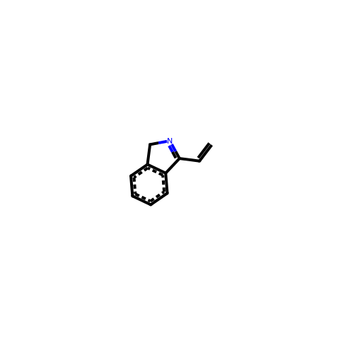 C=CC1=NCc2ccccc21